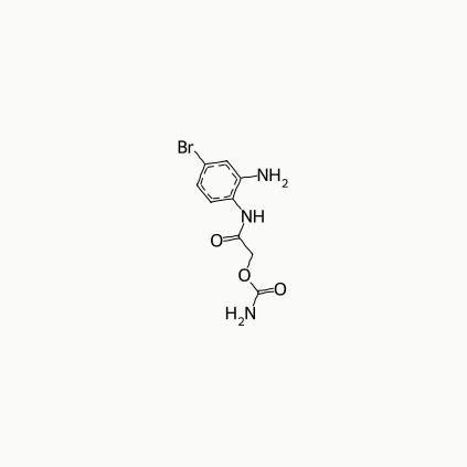 NC(=O)OCC(=O)Nc1ccc(Br)cc1N